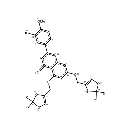 COc1ccc(-c2cc(=O)c3c(OCC4=COC(C)(C)O4)cc(OCC4=COC(C)(C)O4)cc3o2)cc1O